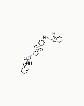 CN(CCc1cc2ccccc2[nH]1)c1ccc(S(=O)(=O)n2ccc(/C=C/C(=O)NOC3CCCCO3)c2)cc1